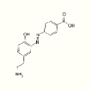 NCCc1ccc(O)c(/N=N/c2ccc(C(=O)O)cc2)c1